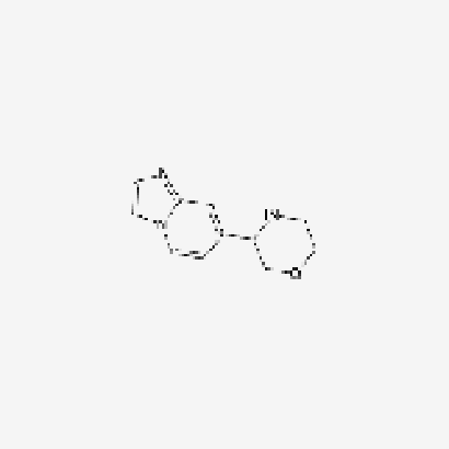 c1cn2ccc(C3COCCN3)cc2n1